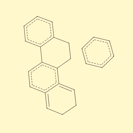 C1=c2ccc3c(c2=CCC1)CCc1ccccc1-3.c1ccccc1